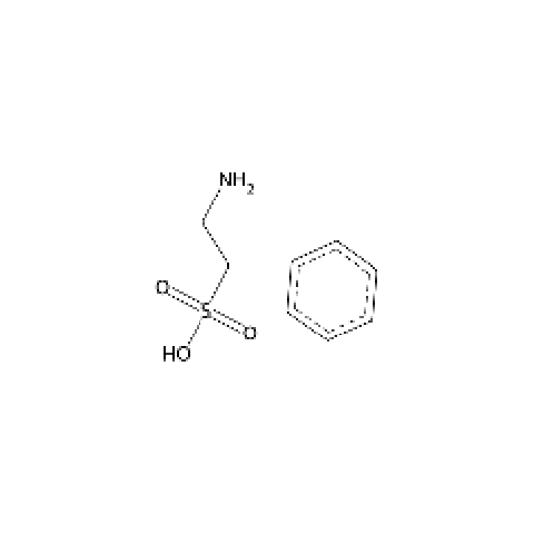 NCCS(=O)(=O)O.c1ccccc1